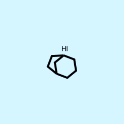 C1CC2CCC(C1)C2.I